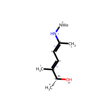 CNN/C(C)=C/C=C(\C)[C@@H](C)O